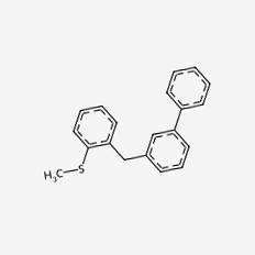 CSc1ccccc1Cc1cccc(-c2ccccc2)c1